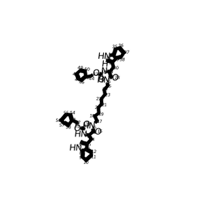 O=C(NC(Cc1c[nH]c2ccccc12)C(=O)NCCCCCCCCCNC(=O)C(Cc1c[nH]c2ccccc12)NC(=O)OCc1ccccc1)OCc1ccccc1